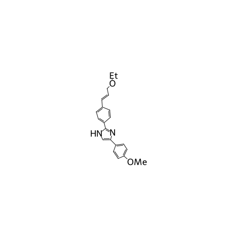 CCOCC=Cc1ccc(-c2nc(-c3ccc(OC)cc3)c[nH]2)cc1